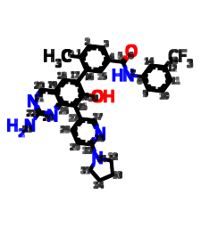 Cc1ccc(C(=O)Nc2cccc(C(F)(F)F)c2)cc1-c1cc2cnc(N)nc2c(-c2ccc(N3CCCC3)nc2)c1O